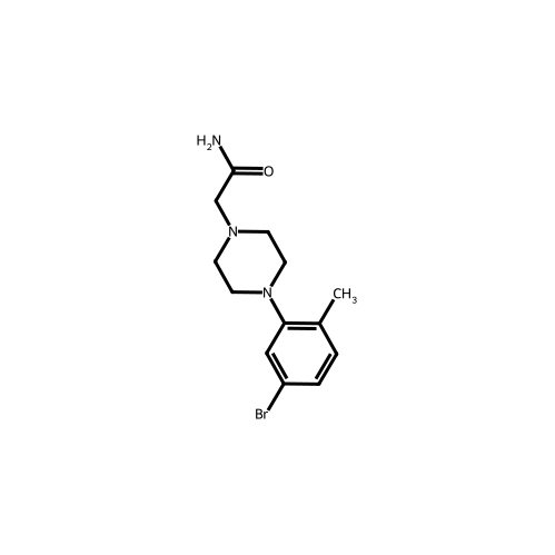 Cc1ccc(Br)cc1N1CCN(CC(N)=O)CC1